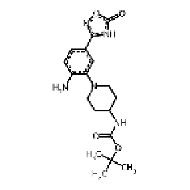 CC(C)(C)OC(=O)NC1CCN(c2cc(-c3noc(=O)[nH]3)ccc2N)CC1